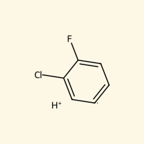 Fc1cc[c]cc1Cl.[H+]